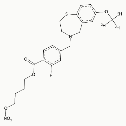 [2H]C([2H])([2H])Oc1ccc2c(c1)CN(Cc1ccc(C(=O)OCCCCO[N+](=O)[O-])c(F)c1)CCS2